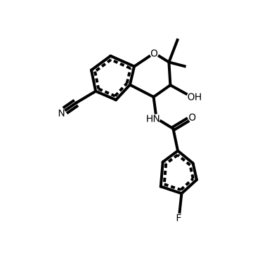 CC1(C)Oc2ccc(C#N)cc2C(NC(=O)c2ccc(F)cc2)C1O